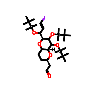 CC(C)(C)[Si](C)(C)OC(/C=C/I)[C@@H]1OC2CC[C@H](CC=O)O[C@@H]2C(O[Si](C)(C)C(C)(C)C)C1O[Si](C)(C)C(C)(C)C